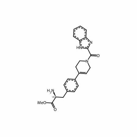 COC(=O)[C@@H](N)Cc1ccc(C2=CCN(C(=O)c3nc4ccccc4[nH]3)CC2)cc1